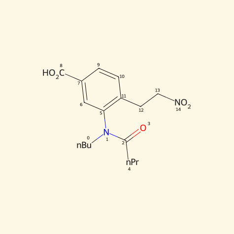 CCCCN(C(=O)CCC)c1cc(C(=O)O)ccc1CC[N+](=O)[O-]